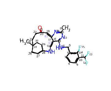 Cc1nc(NCc2cccc(C(F)F)c2F)c2/c(n1)=C\C(=O)CCC1(C)CCC(CC1)N/C=2